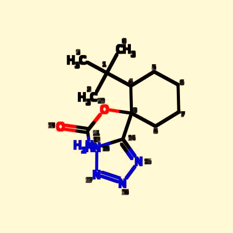 CC(C)(C)C1CCCCC1(OC(N)=O)c1nnn[nH]1